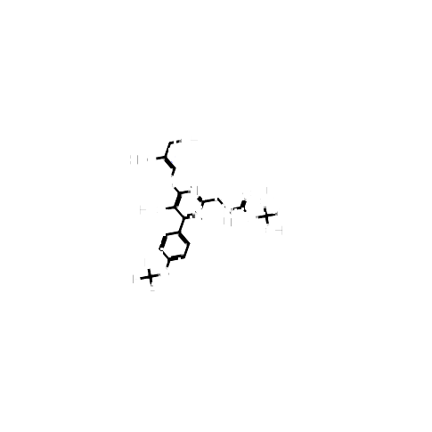 CC/C(C)=C/Sc1nc(CNC(=O)OC(C)(C)C)nc(-c2ccc(OC(F)(F)F)cc2)c1C